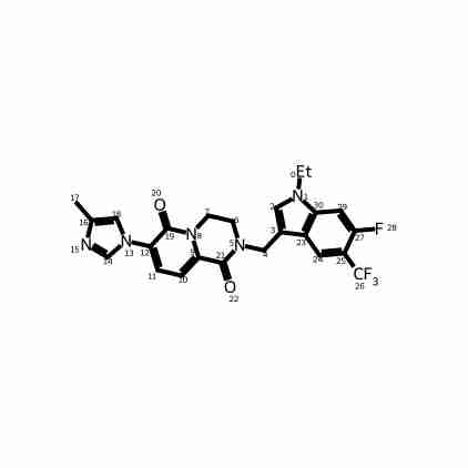 CCn1cc(CN2CCn3c(ccc(-n4cnc(C)c4)c3=O)C2=O)c2cc(C(F)(F)F)c(F)cc21